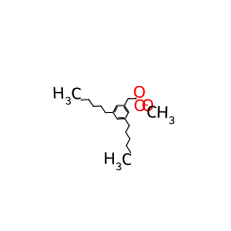 CCCCCCc1cc(CCCCCC)cc(CC(=O)OOC)c1